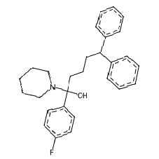 OC(CCCC(c1ccccc1)c1ccccc1)(c1ccc(F)cc1)N1CCCCC1